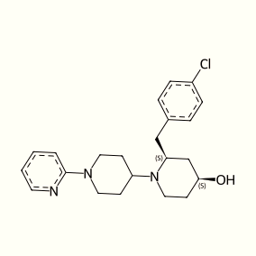 O[C@H]1CCN(C2CCN(c3ccccn3)CC2)[C@@H](Cc2ccc(Cl)cc2)C1